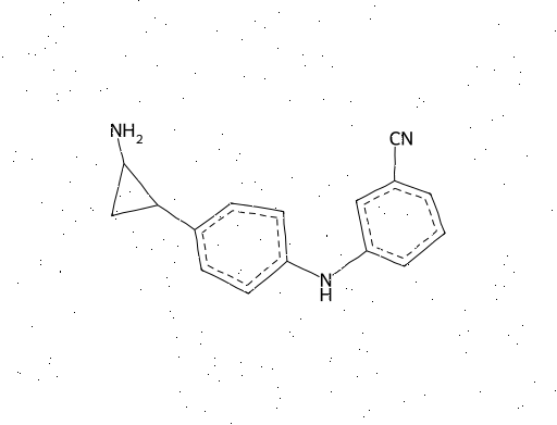 N#Cc1cccc(Nc2ccc(C3CC3N)cc2)c1